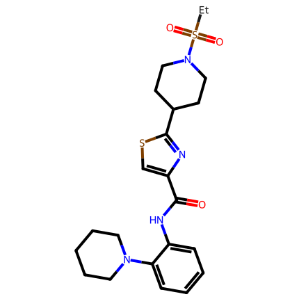 CCS(=O)(=O)N1CCC(c2nc(C(=O)Nc3ccccc3N3CCCCC3)cs2)CC1